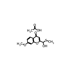 CC(=O)O.COc1ccc2c(=O)cc(C(O)SC)oc2c1